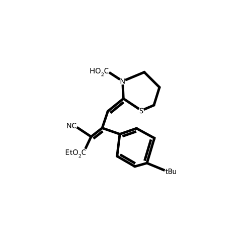 CCOC(=O)/C(C#N)=C(/C=C1\SCCCN1C(=O)O)c1ccc(C(C)(C)C)cc1